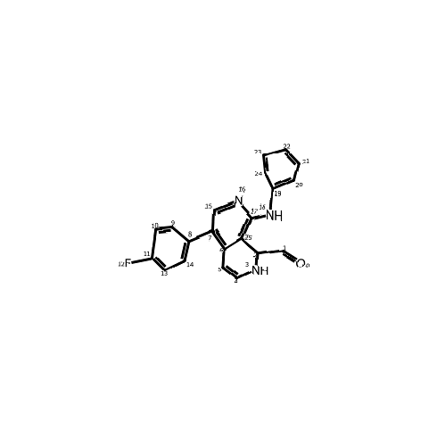 O=CC1NC=Cc2c(-c3ccc(F)cc3)cnc(Nc3ccccc3)c21